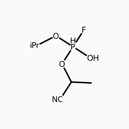 CC(C)O[PH](O)(F)OC(C)C#N